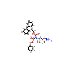 NCCC[C@H](C(=O)O)N(C(=O)OCc1ccccc1)C(=O)OCC1c2ccccc2-c2ccccc21